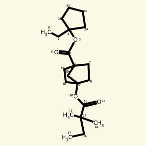 CCC1(OC(=O)C23CCC(OC(=O)C(C)(C)CC)(CC2)C3)CCCC1